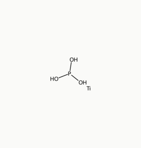 OP(O)O.[Ti]